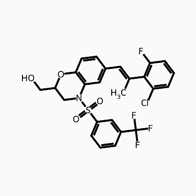 CC(=Cc1ccc2c(c1)N(S(=O)(=O)c1cccc(C(F)(F)F)c1)CC(CO)O2)c1c(F)cccc1Cl